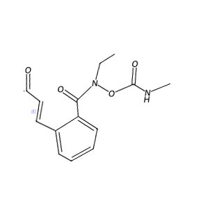 CCN(OC(=O)NC)C(=O)c1ccccc1/C=C/[C]=O